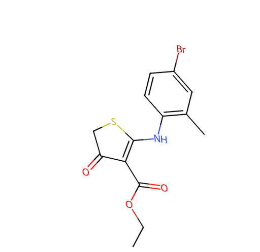 CCOC(=O)C1=C(Nc2ccc(Br)cc2C)SCC1=O